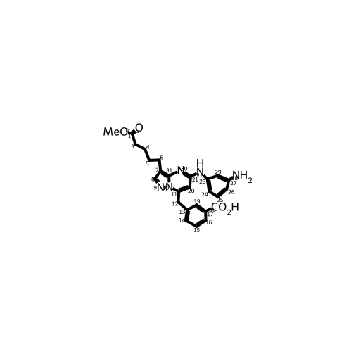 COC(=O)CCCCc1cnn2c(Cc3cccc(C(=O)O)c3)cc(Nc3cccc(N)c3)nc12